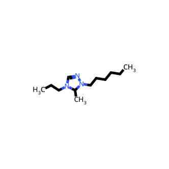 CCCCCCN1N=CN(CCC)C1C